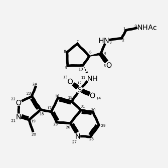 CC(=O)NCCNC(=O)[C@@H]1CCC[C@H]1NS(=O)(=O)c1cc(-c2c(C)noc2C)cc2ncccc12